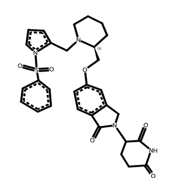 O=C1CCC(N2Cc3cc(OC[C@@H]4CCCCN4Cc4cccn4S(=O)(=O)c4ccccc4)ccc3C2=O)C(=O)N1